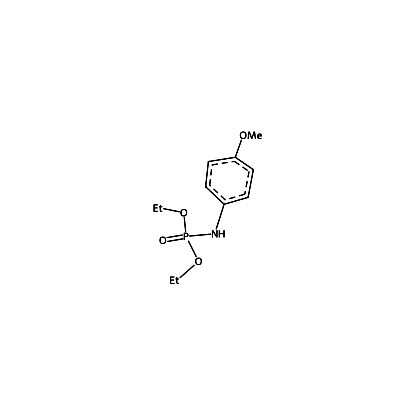 CCOP(=O)(Nc1ccc(OC)cc1)OCC